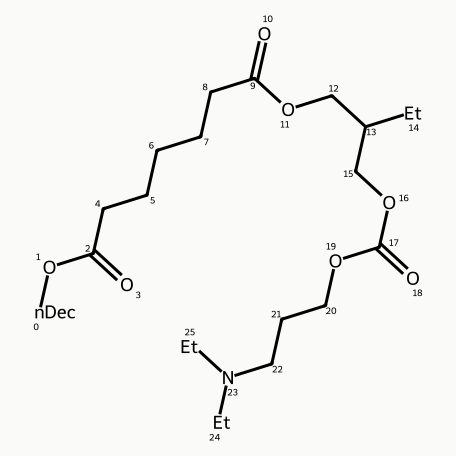 CCCCCCCCCCOC(=O)CCCCCC(=O)OCC(CC)COC(=O)OCCCN(CC)CC